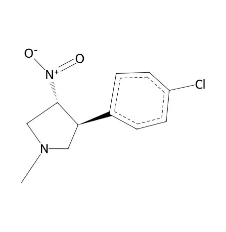 CN1C[C@H](c2ccc(Cl)cc2)[C@@H]([N+](=O)[O-])C1